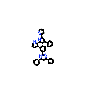 c1ccc(-c2cc(-c3ccccn3)nc(-c3ncccc3-c3cccc(-c4nc(-c5ccccc5)cc(-c5ccccc5)n4)c3)c2)cc1